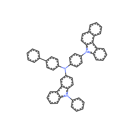 c1ccc(-c2ccc(N(c3ccc(-n4c5ccccc5c5c6ccccc6ccc54)cc3)c3ccc4c(c3)c3ccccc3n4-c3ccccc3)cc2)cc1